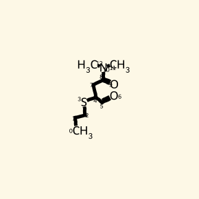 CCCSC(C=O)CC(=O)N(C)C